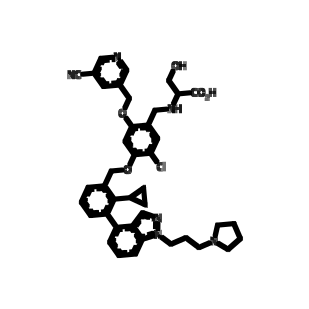 N#Cc1cncc(COc2cc(OCc3cccc(-c4cccc5c4cnn5CCCN4CCCC4)c3C3CC3)c(Cl)cc2CNC(CO)C(=O)O)c1